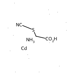 N.N#CSCC(=O)O.[Cd]